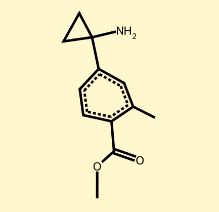 COC(=O)c1ccc(C2(N)CC2)cc1C